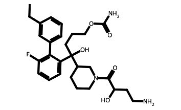 CCc1cccc(-c2c(F)cccc2C(O)(CCCOC(N)=O)C2CCCN(C(=O)C(O)CCN)C2)c1